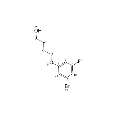 OCCCCOc1cc(F)cc(Br)c1